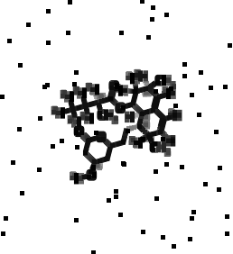 [2H]O[C@H]1CC(=O)OC(CC[C@@H]2[C@@H]3C(=C([2H])[C@]([2H])(C)C([2H])([2H])C3OC(=O)[C@@]([2H])(C)C([2H])([2H])C([2H])([2H])[2H])C([2H])=C([2H])[C@]2([2H])C)C1